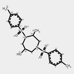 Cc1ccc(S(=O)(=O)N2CC(O)CN(S(=O)(=O)c3ccc(C)cc3)C(C)C2)cc1